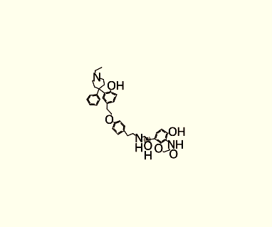 CCN1CCC(c2ccccc2)(c2cc(CCOc3ccc(CCNC[C@H](O)c4ccc(O)c5c4OCC(=O)N5)cc3)ccc2O)CC1